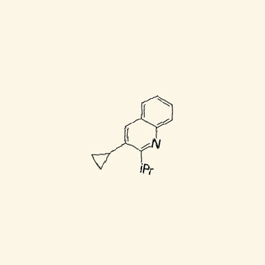 CC(C)c1nc2ccccc2cc1C1CC1